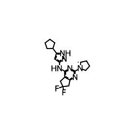 FC1(F)Cc2nc(N3[CH]CCC3)nc(Nc3cc(C4CCCC4)[nH]n3)c2C1